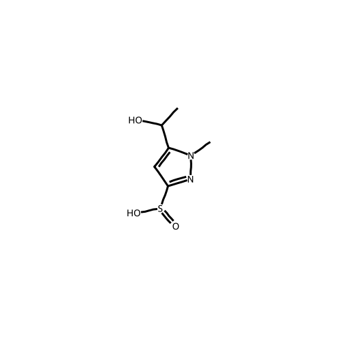 CC(O)c1cc(S(=O)O)nn1C